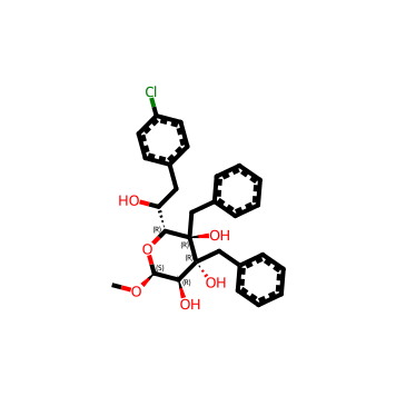 CO[C@H]1O[C@H](C(O)Cc2ccc(Cl)cc2)[C@](O)(Cc2ccccc2)[C@@](O)(Cc2ccccc2)[C@H]1O